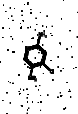 Nc1cc(Cl)c(N)cn1